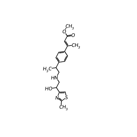 COC(=O)C=C(C)c1ccc(C(C)CNCC(O)c2csc(C)n2)cc1